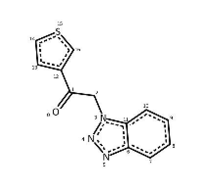 O=C(Cn1nnc2ccccc21)c1ccsc1